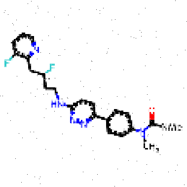 CNC(=O)N(C)c1ccc(-c2ccc(NCC[C@H](F)Cc3ncccc3F)nn2)cc1